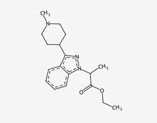 CCOC(=O)C(C)n1nc(C2CCN(C)CC2)c2ccccc21